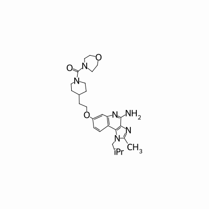 Cc1nc2c(N)nc3cc(OCCC4CCN(C(=O)N5CCOCC5)CC4)ccc3c2n1CC(C)C